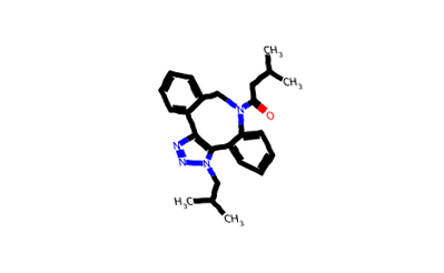 CC(C)CC(=O)N1Cc2ccccc2-c2nnn(CC(C)C)c2-c2ccccc21